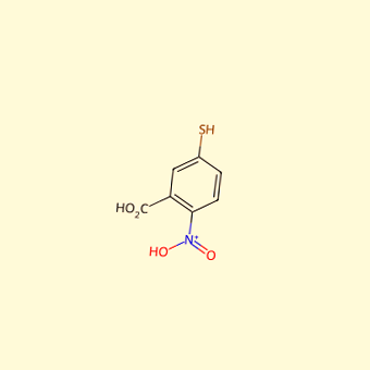 O=C(O)c1cc(S)ccc1[N+](=O)O